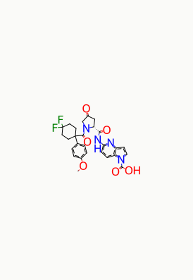 COc1ccc(C2(C(=O)N3CC(=O)C[C@@H]3C(=O)Nc3ccc4c(ccn4C(=O)O)n3)CCC(F)(F)CC2)cc1